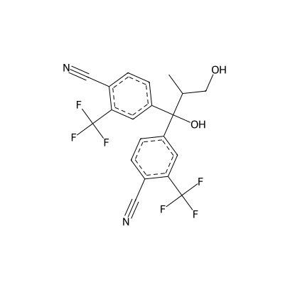 CC(CO)C(O)(c1ccc(C#N)c(C(F)(F)F)c1)c1ccc(C#N)c(C(F)(F)F)c1